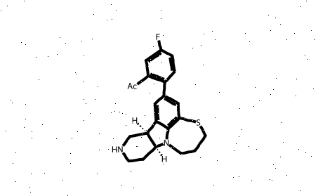 CC(=O)c1cc(F)ccc1-c1cc2c3c(c1)[C@@H]1CNCC[C@@H]1N3CCCS2